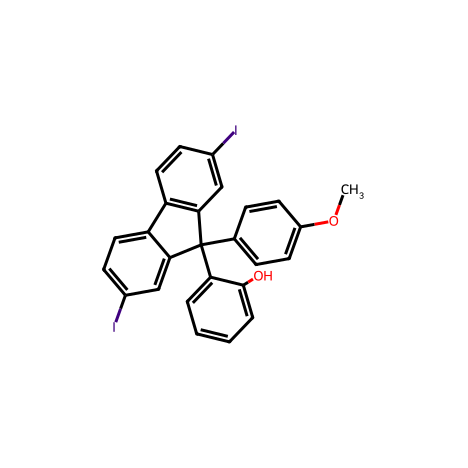 COc1ccc(C2(c3ccccc3O)c3cc(I)ccc3-c3ccc(I)cc32)cc1